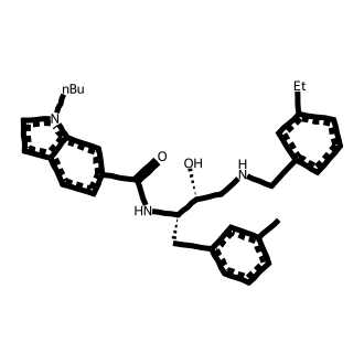 CCCCn1ccc2ccc(C(=O)N[C@@H](Cc3cccc(C)c3)[C@H](O)CNCc3cccc(CC)c3)cc21